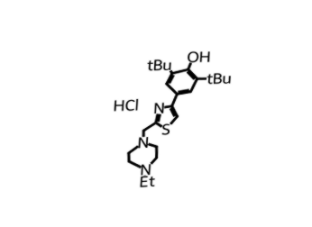 CCN1CCN(Cc2nc(-c3cc(C(C)(C)C)c(O)c(C(C)(C)C)c3)cs2)CC1.Cl